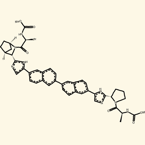 COC(=O)N[C@@H](C)C(=O)N1CCC[C@H]1c1ncc(-c2ccc3cc(-c4ccc5cc(-c6cnc([C@@H]7[C@H]8CC[C@H](C8)N7C(=O)[C@@H](NC(=O)OC)C(C)C)[nH]6)ccc5c4)ccc3c2)[nH]1